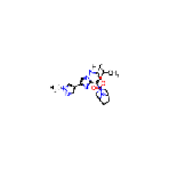 CC(C)COC(=O)N1C2CCC1CN(c1ccnn3cc(-c4cnn(C)c4)nc13)C2